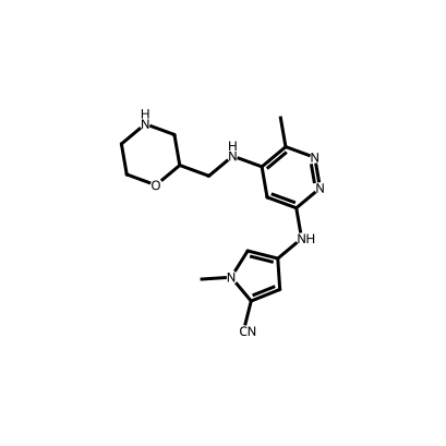 Cc1nnc(Nc2cc(C#N)n(C)c2)cc1NCC1CNCCO1